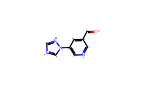 O=Cc1cncc(-n2cncn2)c1